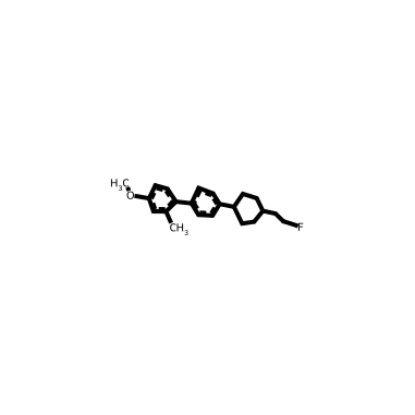 COc1ccc(-c2ccc(C3CCC(CCF)CC3)cc2)c(C)c1